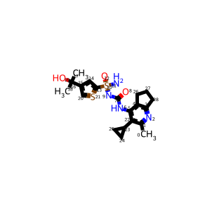 Cc1nc2c(c(NC(=O)N=S(N)(=O)c3cc(C(C)(C)O)cs3)c1C1CC1)CCC2